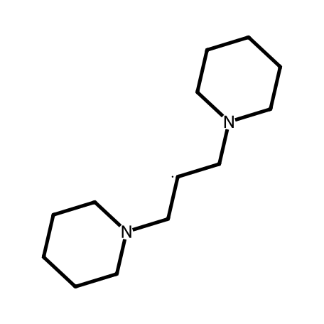 [CH](CN1CCCCC1)CN1CCCCC1